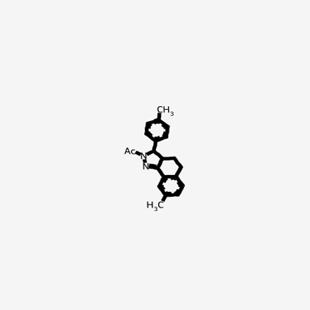 CC(=O)N1N=C2c3cc(C)ccc3CCC2C1c1ccc(C)cc1